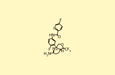 NC1=N[C@]2(c3cc(NC(=O)c4ccc(F)cn4)ccc3F)CO[C@@H](C(F)(F)F)[C@@H]2CC1